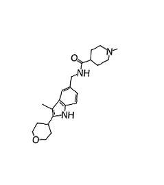 Cc1c(C2CCOCC2)[nH]c2ccc(CNC(=O)C3CCN(C)CC3)cc12